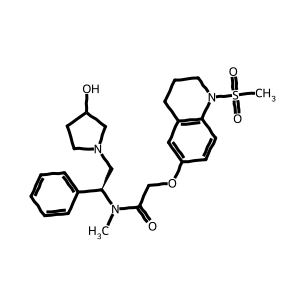 CN(C(=O)COc1ccc2c(c1)CCCN2S(C)(=O)=O)[C@H](CN1CCC(O)C1)c1ccccc1